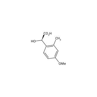 COc1ccc([C@@H](O)C(=O)O)c(C)c1